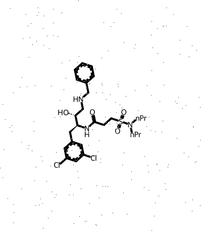 CCCN(CCC)S(=O)(=O)CCC(=O)N[C@@H](Cc1cc(Cl)cc(Cl)c1)[C@H](O)CNCc1ccccc1